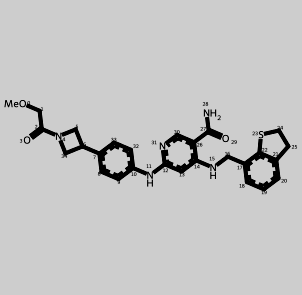 COCC(=O)N1CC(c2ccc(Nc3cc(NCc4cccc5c4SCC5)c(C(N)=O)cn3)cc2)C1